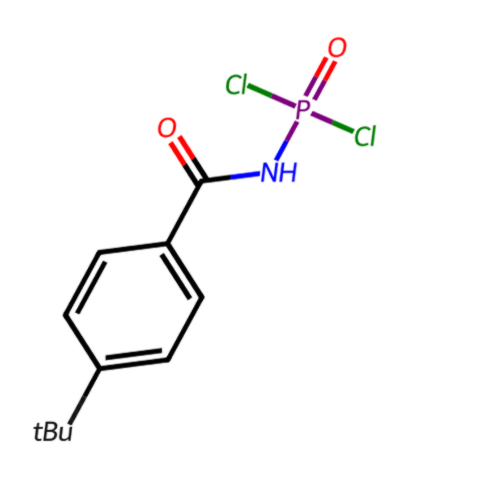 CC(C)(C)c1ccc(C(=O)NP(=O)(Cl)Cl)cc1